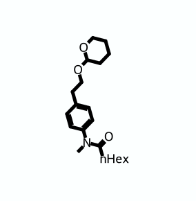 CCCCCCC(=O)N(C)c1ccc(CCOC2CCCCO2)cc1